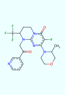 CC1COCCN1c1nc2n(c(=O)c1F)CCC(C(F)(F)F)N2CC(=O)c1cccnc1